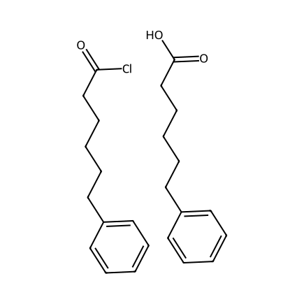 O=C(Cl)CCCCCc1ccccc1.O=C(O)CCCCCc1ccccc1